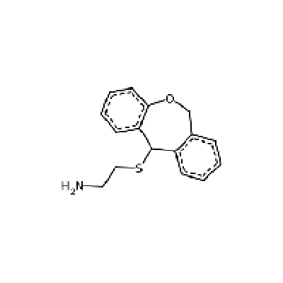 NCCSC1c2ccccc2COc2ccccc21